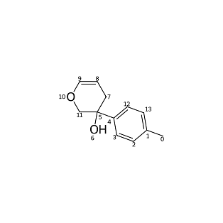 Cc1ccc(C2(O)CC=COC2)cc1